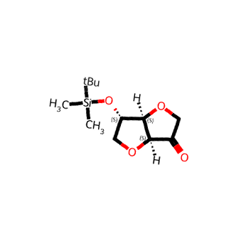 CC(C)(C)[Si](C)(C)O[C@H]1CO[C@@H]2C(=O)CO[C@H]12